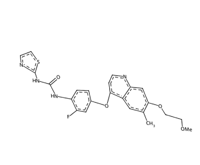 COCCOc1cc2nccc(Oc3ccc(NC(=O)Nc4nccs4)c(F)c3)c2cc1C